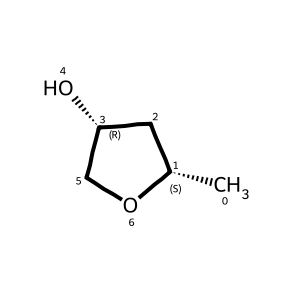 C[C@H]1C[C@@H](O)CO1